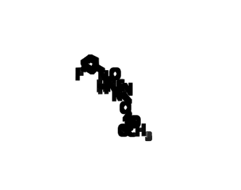 CS(=O)(=O)CCOCc1nsc(NC(=O)NCc2cccc(F)c2)n1